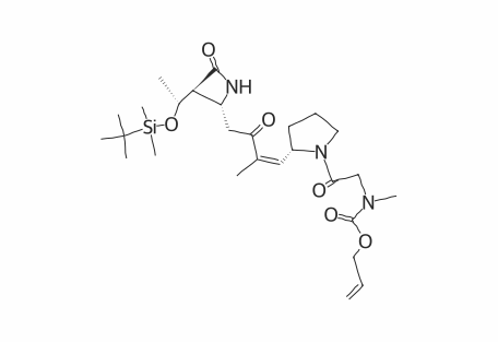 C=CCOC(=O)N(C)CC(=O)N1CCC[C@H]1C=C(C)C(=O)C[C@H]1NC(=O)[C@@H]1[C@@H](C)O[Si](C)(C)C(C)(C)C